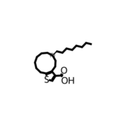 CCCCCCCC[C@@H]1CCCCCCc2scc(C(=O)O)c2CC1